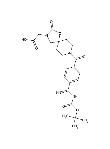 CC(C)(C)OC(=O)NC(=N)c1ccc(C(=O)N2CCC3(CC2)CN(CC(=O)O)C(=O)O3)cc1